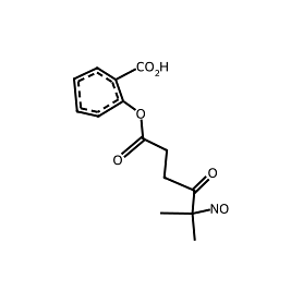 CC(C)(N=O)C(=O)CCC(=O)Oc1ccccc1C(=O)O